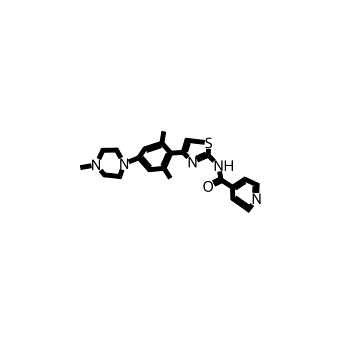 Cc1cc(N2CCN(C)CC2)cc(C)c1-c1csc(NC(=O)c2ccncc2)n1